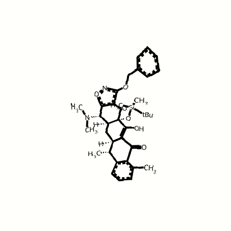 Cc1cccc2c1C(=O)C1=C(O)[C@]3(O[Si](C)(C)C(C)(C)C)C(=O)c4c(OCc5ccccc5)noc4[C@@H](N(C)C)[C@@H]3C[C@@H]1[C@H]2C